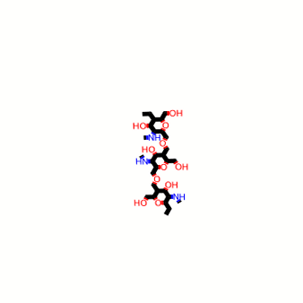 CCC1OC(CO)C(COCC2OC(CO)C(COCC3OC(CO)C(CC)C(O)C3NC)C(O)C2NC)C(O)C1NC